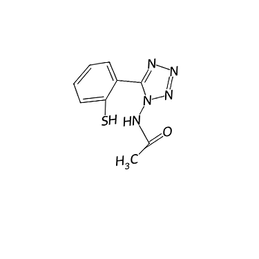 CC(=O)Nn1nnnc1-c1ccccc1S